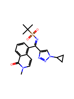 Cn1ccc2c(/C(=N\S(=O)(=O)C(C)(C)C)c3cn(C4CC4)nn3)cccc2c1=O